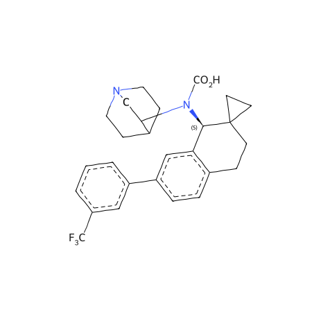 O=C(O)N(C1CN2CCC1CC2)[C@@H]1c2cc(-c3cccc(C(F)(F)F)c3)ccc2CCC12CC2